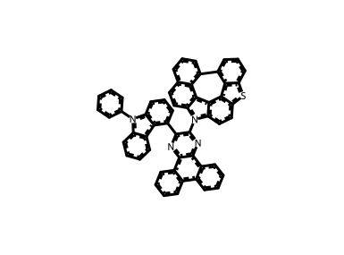 c1ccc(-n2c3ccccc3c3c(-c4nc5c6ccccc6c6ccccc6c5nc4-n4c5ccc6cccc7c6c5c5c6c(ccc54)sc4cccc-7c46)cccc32)cc1